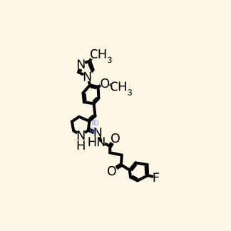 COc1cc(/C=C2\CCCN\C2=N/NC(=O)CCC(=O)c2ccc(F)cc2)ccc1-n1cnc(C)c1